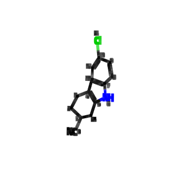 N#CC1CCc2c([nH]c3ccc(Cl)cc23)C1